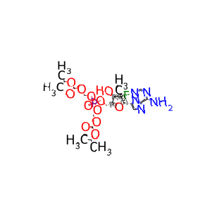 CC(C)OC(=O)OCOP(=O)(OCOC(=O)OC(C)C)OC[C@H]1O[C@@H](c2cnc3c(N)ncnn23)[C@](C)(F)[C@@H]1O